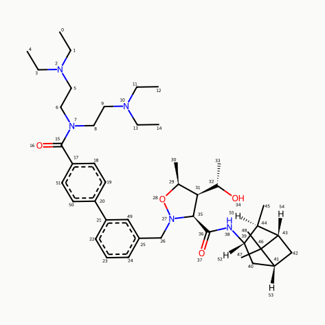 CCN(CC)CCN(CCN(CC)CC)C(=O)c1ccc(-c2cccc(CN3O[C@@H](C)[C@@H]([C@H](C)O)[C@H]3C(=O)N[C@H]3C[C@H]4C[C@@H]([C@@H]3C)C4(C)C)c2)cc1